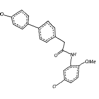 COc1ccc(Cl)cc1NC(=O)Cc1ccc(-c2ccc(O)cc2)cc1